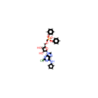 O=P(COC[C@H]1O[C@@H](n2cnc3c(NC4CCCC4)nc(Cl)nc32)[C@H](O)[C@@H]1O)(Oc1ccccc1)Oc1ccccc1